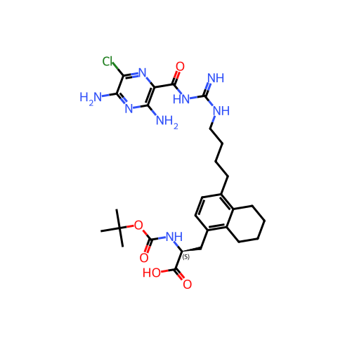 CC(C)(C)OC(=O)N[C@@H](Cc1ccc(CCCCNC(=N)NC(=O)c2nc(Cl)c(N)nc2N)c2c1CCCC2)C(=O)O